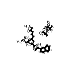 CCC(=O)CCCCC[C@H](NC(=O)CN(C)C)c1ncc(-c2ccc3ccccc3c2)[nH]1.O=C(O)C(F)(F)F.O=C(O)C(F)(F)F